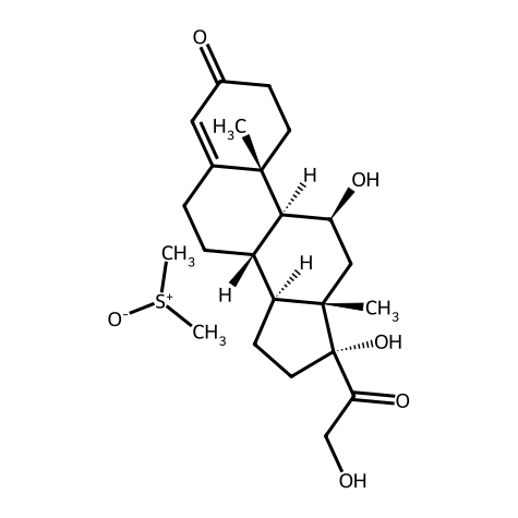 C[C@]12CCC(=O)C=C1CC[C@@H]1[C@@H]2[C@@H](O)C[C@@]2(C)[C@H]1CC[C@]2(O)C(=O)CO.C[S+](C)[O-]